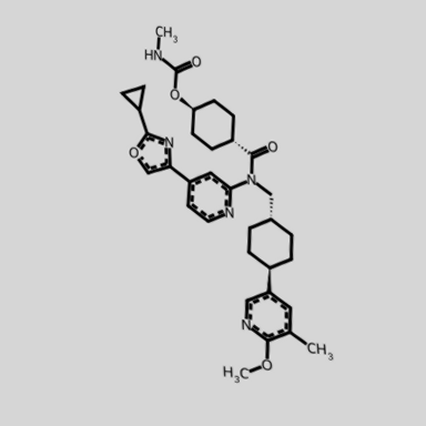 CNC(=O)O[C@H]1CC[C@H](C(=O)N(C[C@H]2CC[C@H](c3cnc(OC)c(C)c3)CC2)c2cc(-c3coc(C4CC4)n3)ccn2)CC1